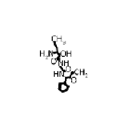 C=CC(=O)[C@@H](NC(=O)CNC(=O)C(O)C(N)CCC)c1ccccc1